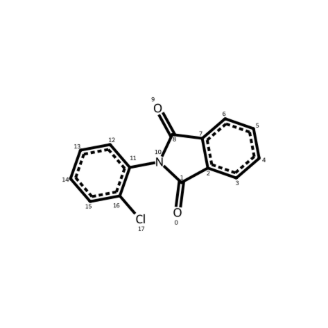 O=C1c2ccccc2C(=O)N1c1ccccc1Cl